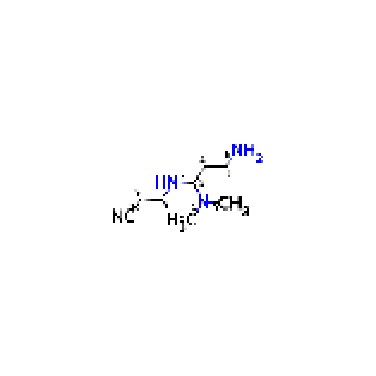 CN(C)C(CCN)NCCC#N